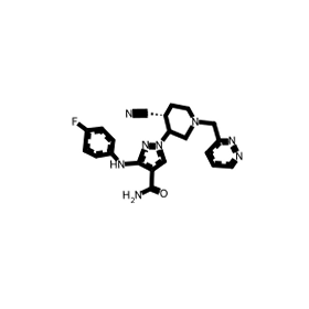 N#C[C@@H]1CCN(Cc2cccnn2)CC1n1cc(C(N)=O)c(Nc2ccc(F)cc2)n1